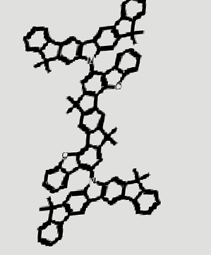 CC1(C)c2ccccc2-c2cc3c4cc5c(cc4n(-c4cc6c(c7oc8ccccc8c47)-c4cc7c(cc4C6(C)C)-c4c(cc(-n6c8cc9c(cc8c8cc%10c(cc86)C(C)(C)c6ccccc6-%10)-c6ccccc6C9(C)C)c6c4oc4ccccc46)C7(C)C)c3cc21)C(C)(C)c1ccccc1-5